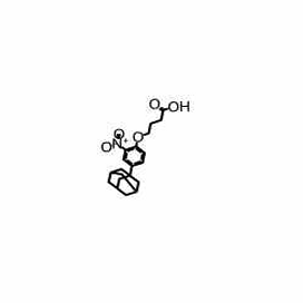 O=C(O)CCCOc1ccc(C23CC4CC(CC(C4)C2)C3)cc1[N+](=O)[O-]